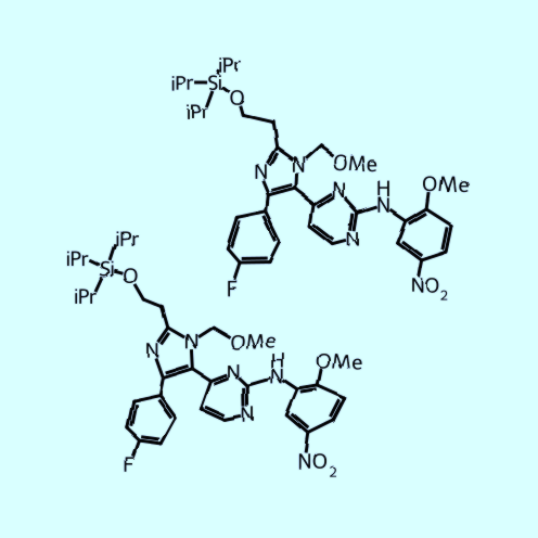 COCn1c(CCO[Si](C(C)C)(C(C)C)C(C)C)nc(-c2ccc(F)cc2)c1-c1ccnc(Nc2cc([N+](=O)[O-])ccc2OC)n1.COCn1c(CCO[Si](C(C)C)(C(C)C)C(C)C)nc(-c2ccc(F)cc2)c1-c1ccnc(Nc2cc([N+](=O)[O-])ccc2OC)n1